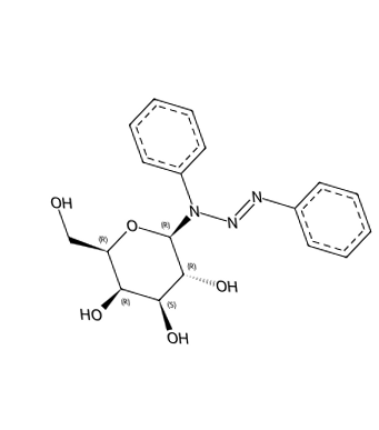 OC[C@H]1O[C@@H](N(N=Nc2ccccc2)c2ccccc2)[C@H](O)[C@@H](O)[C@H]1O